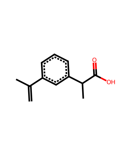 C=C(C)c1cccc(C(C)C(=O)O)c1